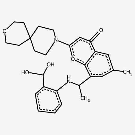 Cc1cc(C(C)Nc2ccccc2C(O)O)c2oc(N3CCC4(CCOCC4)CC3)cc(=O)c2c1